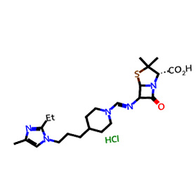 CCc1nc(C)cn1CCCC1CCN(C=NC2C(=O)N3C2SC(C)(C)[C@@H]3C(=O)O)CC1.Cl